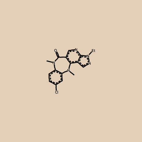 CCn1ncc2c3c(cnc21)C(=O)N(C)c1ccc(Cl)cc1N3C